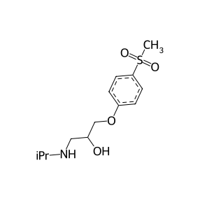 CC(C)NCC(O)COc1ccc(S(C)(=O)=O)cc1